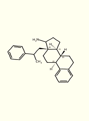 CC(C[C@]12CC[C@@H]3c4ccccc4CC[C@H]3[C@@H]1CCC2N)c1ccccc1